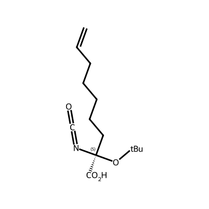 C=CCCCCC[C@](N=C=O)(OC(C)(C)C)C(=O)O